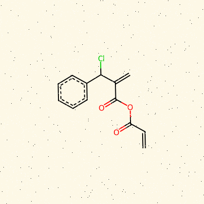 C=CC(=O)OC(=O)C(=C)C(Cl)c1ccccc1